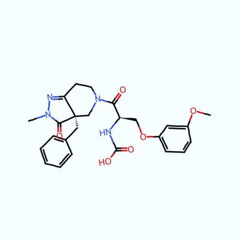 COc1cccc(OC[C@@H](NC(=O)O)C(=O)N2CCC3=NN(C)C(=O)[C@]3(Cc3ccccc3)C2)c1